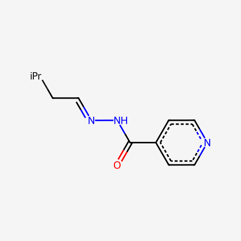 CC(C)CC=NNC(=O)c1ccncc1